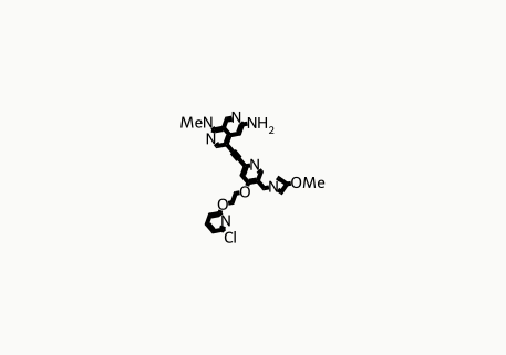 CNc1ncc(C#Cc2cc(OCCOc3cccc(Cl)n3)c(CN3CC(OC)C3)cn2)c2cc(N)ncc12